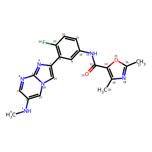 CNc1cnc2nc(-c3cc(NC(=O)c4oc(C)nc4C)ccc3F)cn2c1